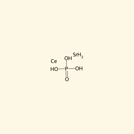 O=P(O)(O)O.[Ce].[SrH2]